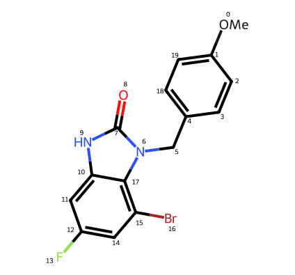 COc1ccc(Cn2c(=O)[nH]c3cc(F)cc(Br)c32)cc1